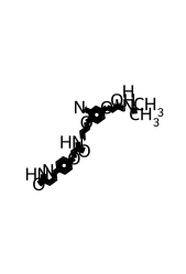 CC(C)NC[C@H](O)COc1ccc(OCCCNC(=O)COc2ccc(C3=NNC(=O)CC3)cc2)c(C#N)c1